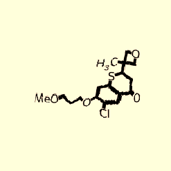 COCCCOc1cc2c(cc1Cl)C(=O)CC(C1(C)COC1)S2